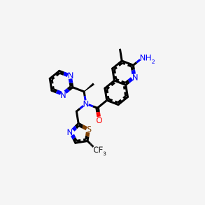 Cc1cc2cc(C(=O)N(Cc3ncc(C(F)(F)F)s3)[C@H](C)c3ncccn3)ccc2nc1N